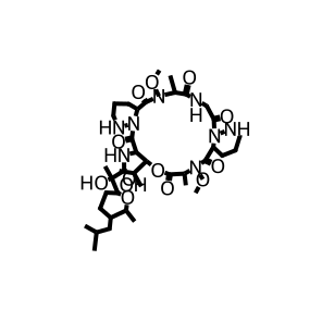 CON1C(=O)C2CCCNN2C(=O)C(NC(=O)C(C)(O)C2(O)CCC(CC(C)C)C(C)O2)C(C(C)C)OC(=O)C(C)N(OC)C(=O)C2CCCNN2C(=O)CNC(=O)C1C